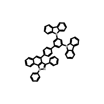 c1ccc(-c2nn(-c3ccccc3)c3c2c(-c2ccc(-c4cc(-n5c6ccccc6c6ccccc65)cc(-n5c6ccccc6c6ccccc65)c4)cc2)cc2ccccc23)cc1